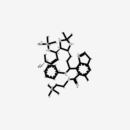 Cc1cc2c(c(C(CC[C@@H]3OC(C)(C)O[C@@H]3C(/C=C\[C@@H](C)C(C)C)O[Si](C)(C)C(C)(C)C)Sc3ccccc3)c1C(=O)OCC[Si](C)(C)C)N=CC2